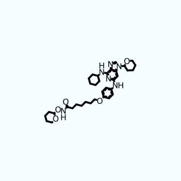 O=C(CCCCCCOc1ccc(Nc2cc3c(ncn3C3CCCCO3)c(NC3CCCCC3)n2)cc1)NOC1CCCCO1